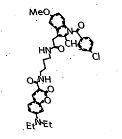 CCN(CC)c1ccc2cc(C(=O)NCCCCNC(=O)Cc3c(C)n(C(=O)c4ccc(Cl)cc4)c4ccc(OC)cc34)c(=O)oc2c1